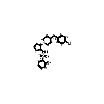 O=S(=O)(NC1CCCC1N1CCC(Cc2ccc(Cl)cc2)CC1)c1ccccc1F